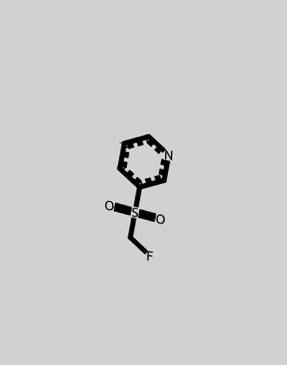 O=S(=O)(CF)c1c[c]cnc1